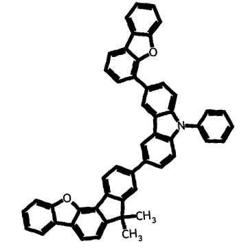 CC1(C)c2cc(-c3ccc4c(c3)c3cc(-c5cccc6c5oc5ccccc56)ccc3n4-c3ccccc3)ccc2-c2c1ccc1c2oc2ccccc21